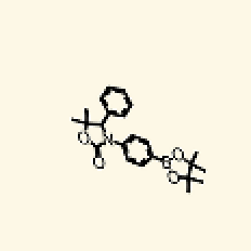 CC1(C)OC(=O)N(c2ccc(B3OC(C)(C)C(C)(C)O3)cc2)C1c1ccccc1